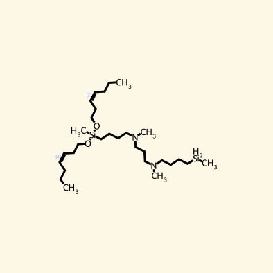 CCC/C=C\CCO[Si](C)(CCCCN(C)CCCN(C)CCCC[SiH2]C)OCC/C=C\CCC